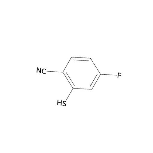 N#Cc1ccc(F)cc1S